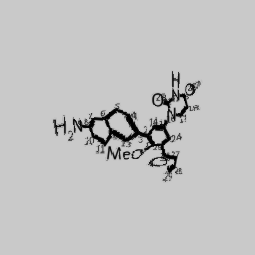 COc1c(-c2ccc3cc(N)ccc3c2)cc(-n2ccc(=O)[nH]c2=O)cc1-c1ccco1